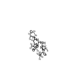 Cc1cc(Nc2nc(N3CCOCC3C)cc(C3(S(C)(=O)=O)CC3)n2)nn1C(=O)OC(C)(C)C